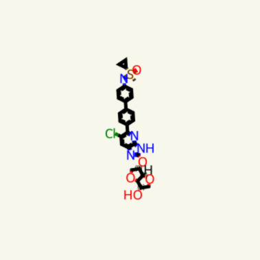 CS(=O)(=Nc1ccc(-c2ccc(-c3nc4[nH]c(O[C@@H]5COC6[C@H](O)CO[C@@H]65)nc4cc3Cl)cc2)cc1)C1CC1